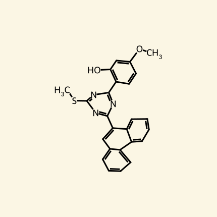 COc1ccc(-c2nc(SC)nc(-c3cc4ccccc4c4ccccc34)n2)c(O)c1